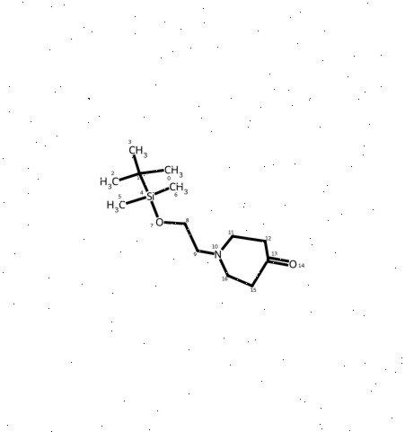 CC(C)(C)[Si](C)(C)OCCN1CCC(=O)CC1